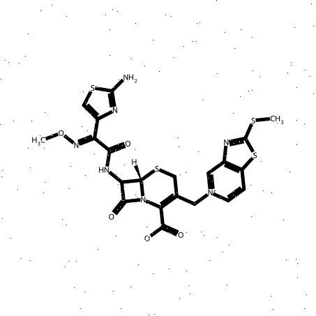 CON=C(C(=O)NC1C(=O)N2C(C(=O)[O-])=C(C[n+]3ccc4sc(SC)nc4c3)CS[C@@H]12)c1csc(N)n1